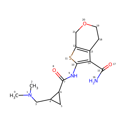 CN(C)CC1CC1C(=O)Nc1sc2c(c1C(N)=O)CCOC2